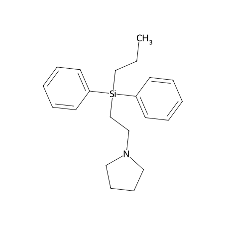 CCC[Si](CCN1CCCC1)(c1ccccc1)c1ccccc1